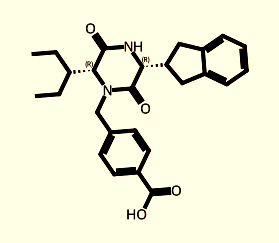 CCC(CC)[C@@H]1C(=O)N[C@H](C2Cc3ccccc3C2)C(=O)N1Cc1ccc(C(=O)O)cc1